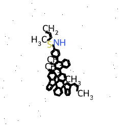 C=C/C=C\C(C)SC(=N)c1ccc(-c2c(C=C)c(/C=C\C)c(-c3ccc4c(c3)C3(C5=CCCC=C5C45C(C)=C(/C=C\CC)c4ccccc45)C4=CC=CCC4c4ccccc43)c3ccccc23)cc1